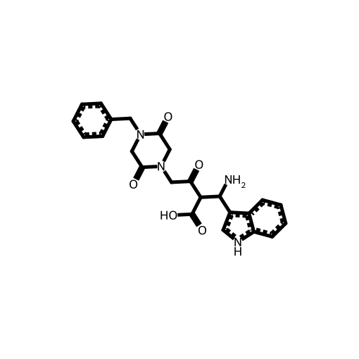 NC(c1c[nH]c2ccccc12)C(C(=O)O)C(=O)CN1CC(=O)N(Cc2ccccc2)CC1=O